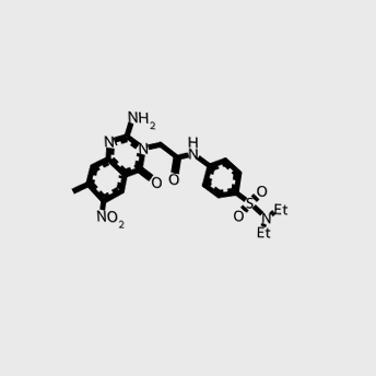 CCN(CC)S(=O)(=O)c1ccc(NC(=O)Cn2c(N)nc3cc(C)c([N+](=O)[O-])cc3c2=O)cc1